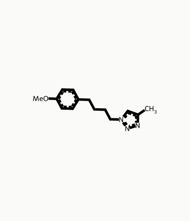 COc1ccc(CCCCn2cc(C)nn2)cc1